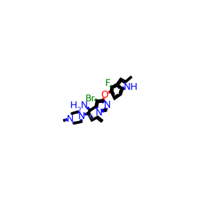 C=C/C=C(\C(N)c1ncnc(Oc2ccc3[nH]c(C)cc3c2F)c1Br)N1CCN(C)CC1